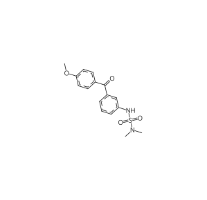 COc1ccc(C(=O)c2cccc(NS(=O)(=O)N(C)C)c2)cc1